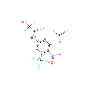 CC(=O)O.CC(C)(O)C(=O)Nc1ccc([N+](=O)[O-])c(C(F)(F)F)c1